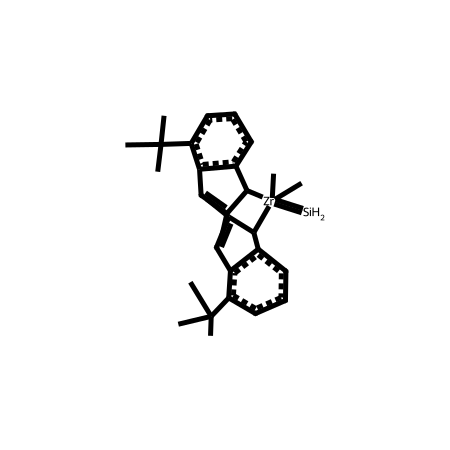 CC1=Cc2c(cccc2C(C)(C)C)[CH]1[Zr]([CH3])([CH3])(=[SiH2])[CH]1C(C)=Cc2c1cccc2C(C)(C)C